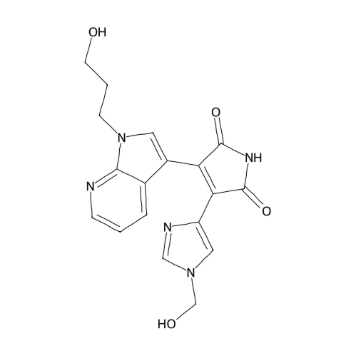 O=C1NC(=O)C(c2cn(CCCO)c3ncccc23)=C1c1cn(CO)cn1